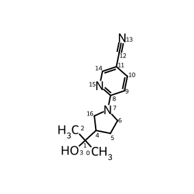 CC(C)(O)C1CCN(c2ccc(C#N)cn2)C1